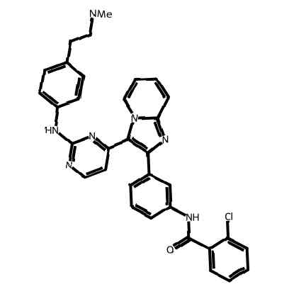 CNCCc1ccc(Nc2nccc(-c3c(-c4cccc(NC(=O)c5ccccc5Cl)c4)nc4ccccn34)n2)cc1